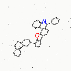 c1ccc(-c2nc3ccccc3c3c2ccc2c4cccc(-c5ccc6ccc7ccccc7c6c5)c4oc23)cc1